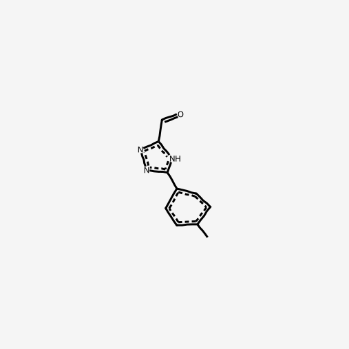 Cc1ccc(-c2nnc(C=O)[nH]2)cc1